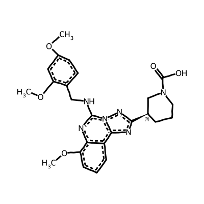 COc1ccc(CNc2nc3c(OC)cccc3c3nc([C@@H]4CCCN(C(=O)O)C4)nn23)c(OC)c1